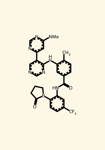 CNc1cc(-c2cncnc2Nc2cc(C(=O)Nc3cc(C(F)(F)F)ccc3N3CCCC3=O)ccc2C)ncn1